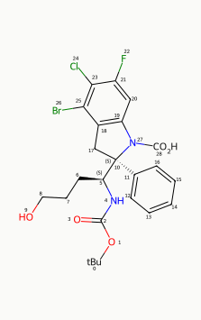 CC(C)(C)OC(=O)N[C@@H](CCCO)[C@@]1(c2ccccc2)Cc2c(cc(F)c(Cl)c2Br)N1C(=O)O